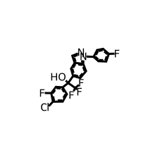 OC(c1ccc(Cl)c(F)c1)(c1ccc2c(cnn2-c2ccc(F)cc2)c1)C(F)(F)F